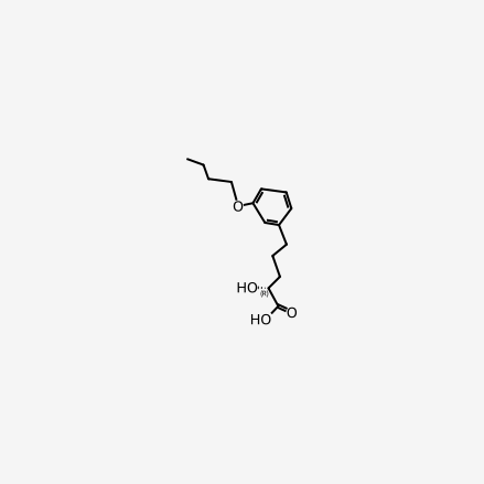 CCCCOc1cccc(CCC[C@@H](O)C(=O)O)c1